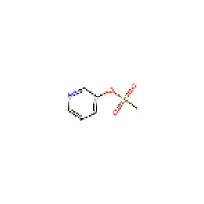 CS(=O)(=O)Oc1cc[c]nc1